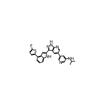 CC(C)Nc1cncc(-c2cnc3[nH]nc(-c4cc5c(-c6ccc(F)s6)cccc5[nH]4)c3c2)c1